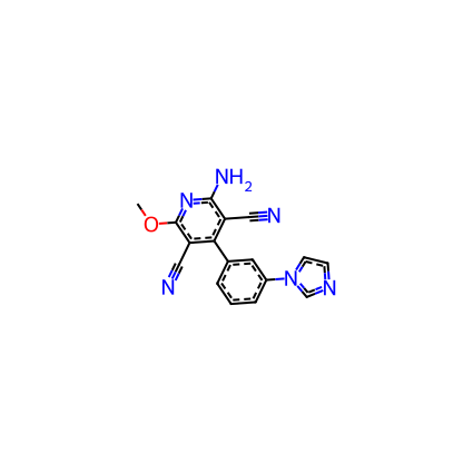 COc1nc(N)c(C#N)c(-c2cccc(-n3ccnc3)c2)c1C#N